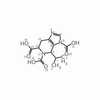 CC(C)C1c2c(ncn2C(=O)O)CC(C(=O)O)N1C(=O)O